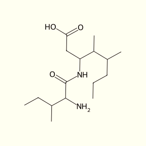 CCCC(C)C(C)C(CC(=O)O)NC(=O)C(N)C(C)CC